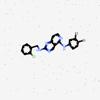 CCc1ccc(Nc2nccc3nc(NCc4ccccc4Cl)ncc23)cc1CC